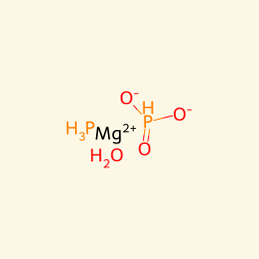 O.O=[PH]([O-])[O-].P.[Mg+2]